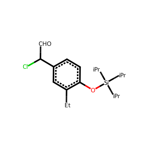 CCc1cc(C(Cl)C=O)ccc1O[Si](C(C)C)(C(C)C)C(C)C